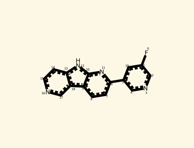 Fc1cncc(-c2ccc3c(n2)[nH]c2ccncc23)c1